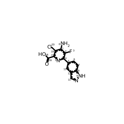 Nc1c(F)c(-c2ccc3[nH]ncc3c2)nc(C(=O)O)c1Cl